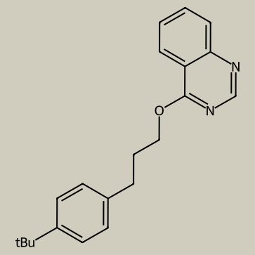 CC(C)(C)c1ccc(CCCOc2ncnc3ccccc23)cc1